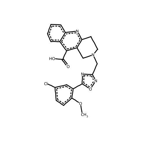 COc1ccc(Cl)cc1-c1nc(CN2CCc3nc4ccccc4c(C(=O)O)c3C2)no1